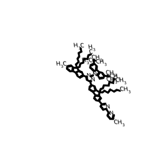 CCCCCCCCC1(CCCCCCCC)c2cc(C)ccc2-c2ccc(-c3cc(-c4ccc5c(c4)C(CCCCCCCC)(CCCCCCCC)c4cc(-c6ccc(-c7ccc(C)cn7)nc6)ccc4-5)nc(-n4c5ccc(C(C)(C)C)cc5c5cc(C(C)(C)C)ccc54)n3)cc21